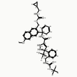 COc1ccc2cc(COC(=O)NCC3CC3)c(C3(NC(=O)C4=CC(c5ccccc5CNC(=O)OC(C)(C)C)(C(F)(F)F)NN4)C=CC=CC3)cc2c1